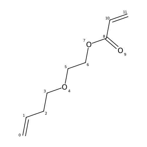 C=CCCOCCOC(=O)C=C